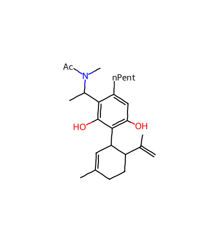 C=C(C)C1CCC(C)=CC1c1c(O)cc(CCCCC)c(C(C)N(C)C(C)=O)c1O